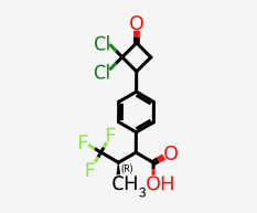 C[C@H](C(C(=O)O)c1ccc(C2CC(=O)C2(Cl)Cl)cc1)C(F)(F)F